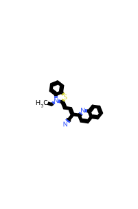 CCN1C(=CC=C(C#N)c2ccc3ccccc3n2)Sc2ccccc21